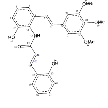 COc1cc(C=Cc2cccc(O)c2NC(=O)/C=C/c2ccccc2O)cc(OC)c1OC